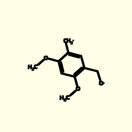 [CH2]c1cc(C[O])c(OC)cc1OC